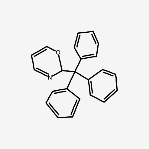 C1=COC(C(c2ccccc2)(c2ccccc2)c2ccccc2)N=C1